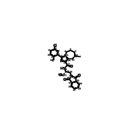 CN1CCCn2c(-c3cc(Cl)ccc3F)nc(C(=O)N[C@H](CN3C(=O)c4ccccc4C3=O)C(C)(C)C)c2C1